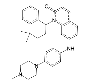 CN1CCN(c2ccc(Nc3ccc4ccc(=O)n(C5CCC(C)(C)c6ccccc65)c4c3)cc2)CC1